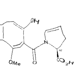 COc1cccc(O)c1C(=O)N1C=CC[C@H]1C(=O)O